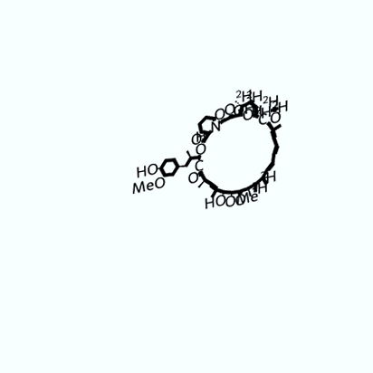 [2H]C([2H])([2H])O[C@H]1C[C@@H]2CC([2H])([2H])[C@@H](C)[C@@](O)(O2)C(=O)C(=O)N2CCCC[C@H]2C(=O)O[C@H]([C@H](C)C[C@@H]2CC[C@@H](O)[C@H](OC)C2)CC(=O)[C@H](C)/C=C(\C)[C@@H](O)[C@@H](OC)C(=O)[C@H](C)C([2H])(C)[C@]([2H])(C)/C=C/C=C/C=C/1C